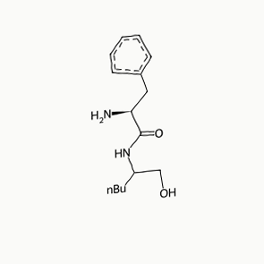 CCCCC(CO)NC(=O)[C@@H](N)Cc1ccccc1